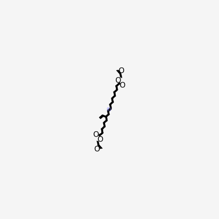 C=CC(C/C=C/CCCCCCCC(=O)OCC1CO1)CCCCCC(=O)OCC1CO1